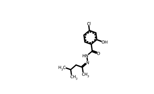 CC(CC(C)C)=NNC(=O)c1ccc(Cl)cc1O